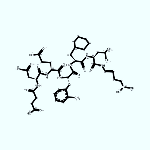 Cc1ccccc1C[C@H](NC(=O)[C@H](CCC(=O)O)NC(=O)[C@H](CC(=O)O)NC(=O)CCC(=O)O)C(=O)N[C@@H](CC1CCCCC1)C(=O)N[C@@H](CC(C)C)C(=O)NC=CCCB(O)O